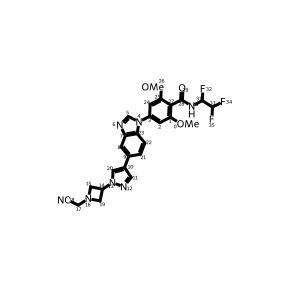 COc1cc(-n2cnc3cc(-c4cnn(C5CN(CC#N)C5)c4)ccc32)cc(OC)c1C(=O)NC(F)C(F)F